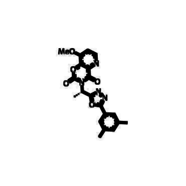 COc1ccnc2c(=O)n([C@@H](C)c3nnc(-c4cc(C)cc(C)c4)o3)c(=O)oc12